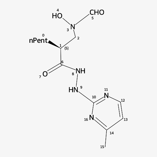 CCCCC[C@@H](CN(O)C=O)C(=O)NNc1nccc(C)n1